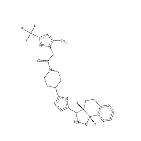 Cc1cc(C(F)(F)F)nn1CC(=O)N1CCC(c2nc(C3NO[C@H]4c5ccccc5CC[C@@H]34)cs2)CC1